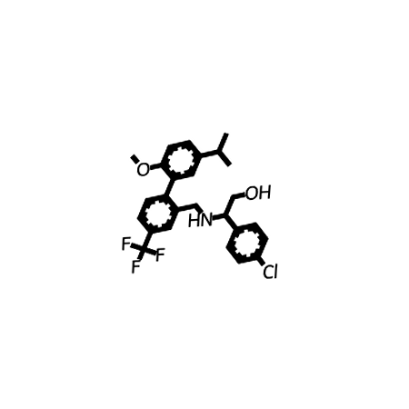 COc1ccc(C(C)C)cc1-c1ccc(C(F)(F)F)cc1CNC(CO)c1ccc(Cl)cc1